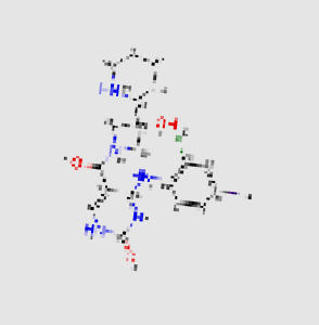 O=C(c1c[nH]c(=O)nc1Nc1ccc(I)cc1F)N1CC(O)(C2CCCCN2)C1